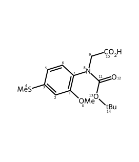 COc1cc(SC)ccc1N(CC(=O)O)C(=O)OC(C)(C)C